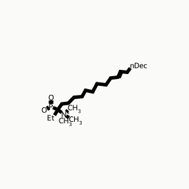 CCCCCCCCCCCC=CCCCCCCCCCC(CC)(P(=O)=O)[N+](C)(C)C